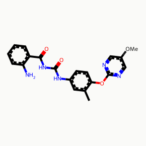 COc1cnc(Oc2ccc(NC(=O)NC(=O)c3ccccc3N)cc2C)nc1